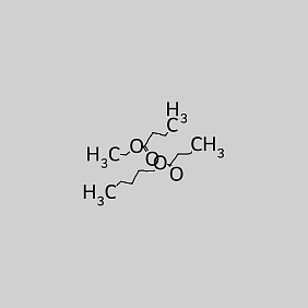 CCCC(=O)OCC.CCCCCOC(=O)CCC